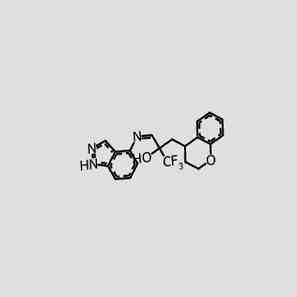 OC(/C=N\c1cccc2[nH]ncc12)(CC1CCOc2ccccc21)C(F)(F)F